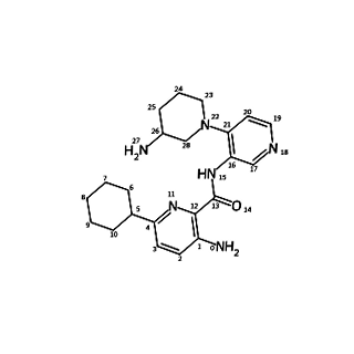 Nc1ccc(C2CCCCC2)nc1C(=O)Nc1cnccc1N1CCCC(N)C1